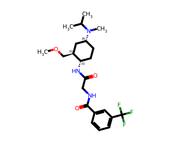 COC[C@H]1C[C@H](N(C)C(C)C)CC[C@@H]1NC(=O)CNC(=O)c1cccc(C(F)(F)F)c1